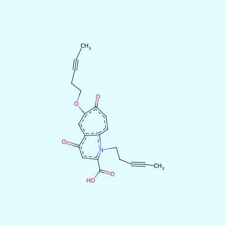 CC#CCCOc1cc2c(=O)cc(C(=O)O)n(CCC#CC)c2ccc1=O